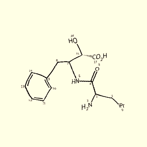 CC(C)CC(N)C(=O)NC(Cc1ccccc1)[C@H](O)C(=O)O